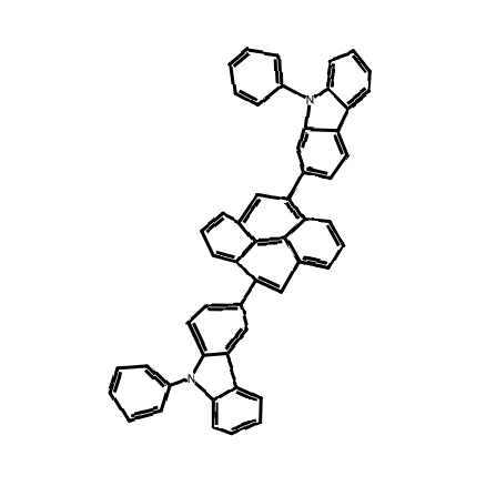 c1ccc(-n2c3ccccc3c3cc(-c4cc5cccc6c(-c7ccc8c9ccccc9n(-c9ccccc9)c8c7)cc7cccc4c7c56)ccc32)cc1